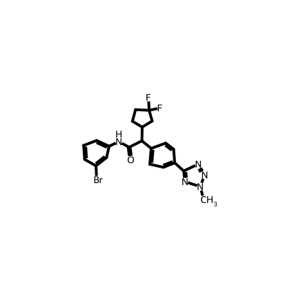 Cn1nnc(-c2ccc(C(C(=O)Nc3cccc(Br)c3)C3CCC(F)(F)C3)cc2)n1